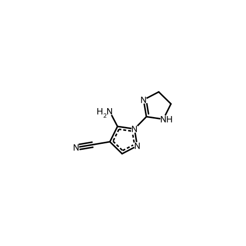 N#Cc1cnn(C2=NCCN2)c1N